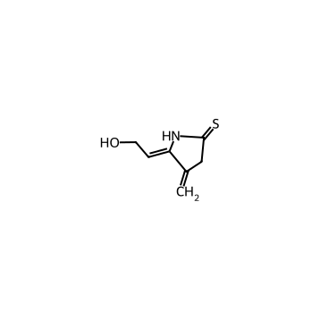 C=C1CC(=S)N/C1=C\CO